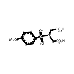 COc1ccc(S(=O)(=O)N(CC(=O)O)CC(=O)O)cc1